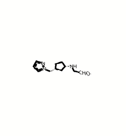 O=[C]CN[C@H]1CC[C@@H](Cn2cccn2)C1